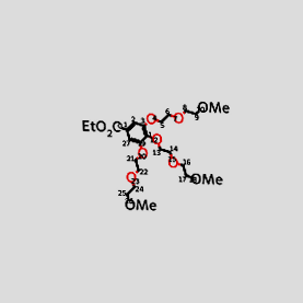 CCOC(=O)c1cc(OCCOCCOC)c(OCCOCCOC)c(OCCOCCOC)c1